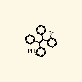 Brc1ccccc1C(=C(c1ccccc1)c1ccccc1)c1ccccc1.P